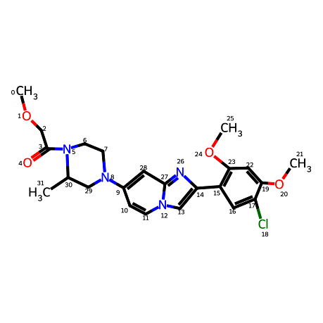 COCC(=O)N1CCN(c2ccn3cc(-c4cc(Cl)c(OC)cc4OC)nc3c2)CC1C